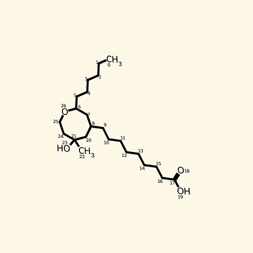 CCCCCCC1CC(CCCCCCCCC(=O)O)CC(C)(O)CCO1